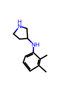 Cc1cccc(NC2CCNC2)c1C